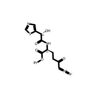 CC(C)OC(=O)[C@H](CCC(=O)C=[N+]=[N-])NC(=O)[C@@H](O)c1cncs1